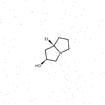 CC[C@@]12CCCN1C[C@@H](O)C2